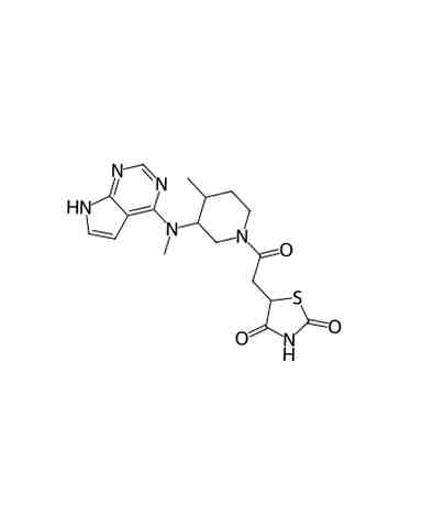 CC1CCN(C(=O)CC2SC(=O)NC2=O)CC1N(C)c1ncnc2[nH]ccc12